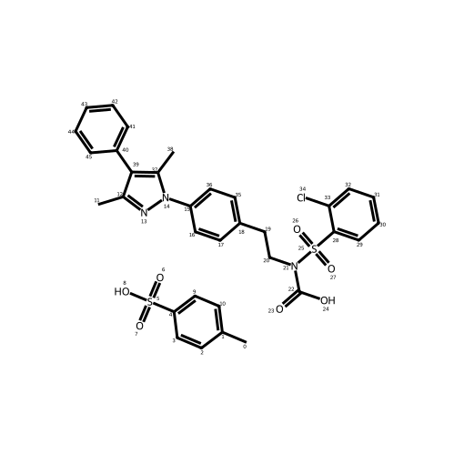 Cc1ccc(S(=O)(=O)O)cc1.Cc1nn(-c2ccc(CCN(C(=O)O)S(=O)(=O)c3ccccc3Cl)cc2)c(C)c1-c1ccccc1